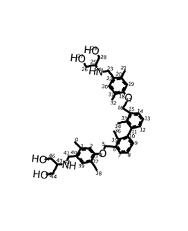 Cc1cc(OCc2cccc(-c3cccc(COc4cc(C)c(CNC(CO)CO)cc4C)c3C)c2C)c(C)cc1CNC(CO)CO